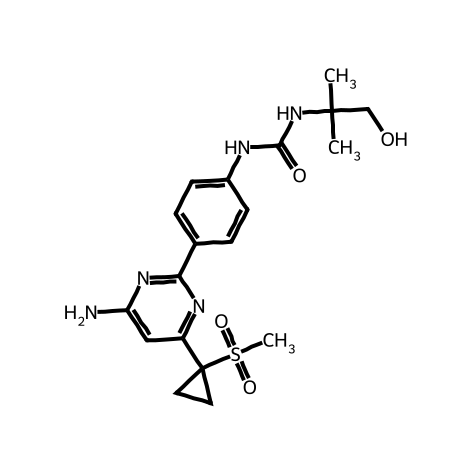 CC(C)(CO)NC(=O)Nc1ccc(-c2nc(N)cc(C3(S(C)(=O)=O)CC3)n2)cc1